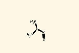 PP(P)N=S